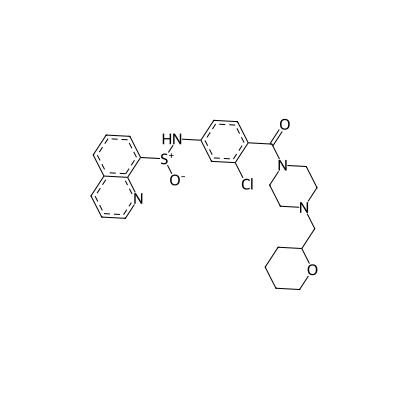 O=C(c1ccc(N[S+]([O-])c2cccc3cccnc23)cc1Cl)N1CCN(CC2CCCCO2)CC1